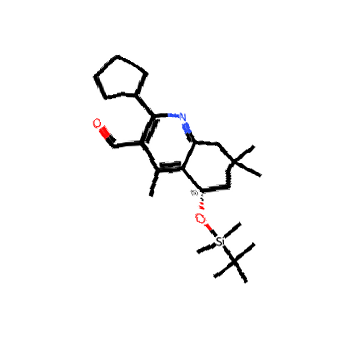 Cc1c(C=O)c(C2CCCC2)nc2c1[C@@H](O[Si](C)(C)C(C)(C)C)CC(C)(C)C2